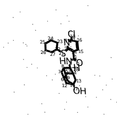 O=C(N[C@H]1C2CC3CC1C[C@@](O)(C3)C2)c1ccc(Cl)nc1SC1CCCCC1